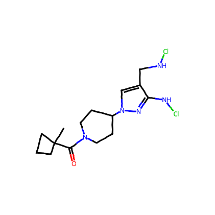 CC1(C(=O)N2CCC(n3cc(CNCl)c(NCl)n3)CC2)CCC1